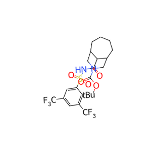 CC(C)(C)OC(=O)N1CC2CCCCC(C1)C2C(=O)NS(=O)(=O)c1cc(C(F)(F)F)cc(C(F)(F)F)c1